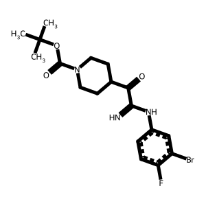 CC(C)(C)OC(=O)N1CCC(C(=O)C(=N)Nc2ccc(F)c(Br)c2)CC1